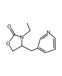 CCN1C(=O)OCC1Cc1cccnc1